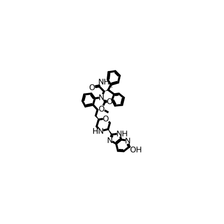 COC(=O)N(c1ccccc1CC[C@@H]1CN[C@H](c2nc3ccc(O)nc3[nH]2)CO1)[C@H](C(N)=O)C(c1ccccc1)c1ccccc1